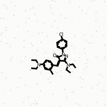 CCN(CC)C1=NN(c2ccc(Cl)cc2)C(=O)/C1=C\c1ccc(N(CC)CC)cc1C